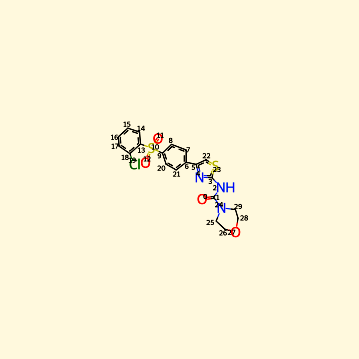 O=C(Nc1nc(-c2ccc(S(=O)(=O)c3ccccc3Cl)cc2)cs1)N1CCOCC1